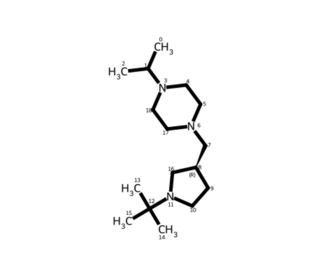 CC(C)N1CCN(C[C@H]2CCN(C(C)(C)C)C2)CC1